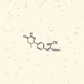 CN/C(=N/c1ccc(C2=NNC(=O)CC2C)cc1)NC#N